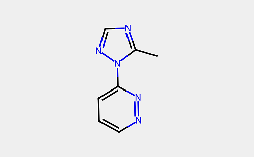 Cc1ncnn1-c1cccnn1